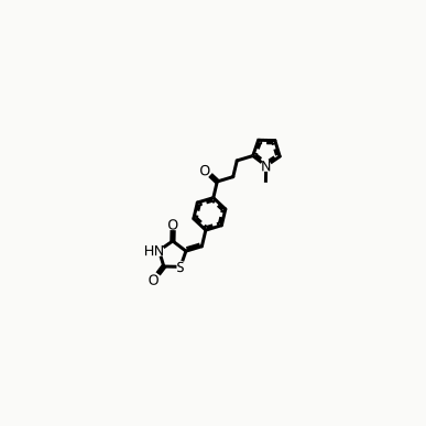 Cn1cccc1CCC(=O)c1ccc(/C=C2/SC(=O)NC2=O)cc1